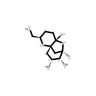 CC[C@H]1CC[C@@H]2O[C@@H]3C[C@]2(C[C@@H](O)[C@H]3O)O1